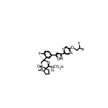 CN=[S@@]1(=O)C[C@@](C)(c2cc(-c3cc(-c4cnc(OCC(F)F)cn4)no3)ccc2F)N=C(NC(=O)O)C12CCCC2